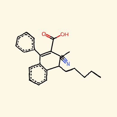 CCCCCC(CC)c1ccccc1/C(=C(\C#N)C(=O)O)c1ccccc1